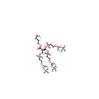 C[Si](C)(C)O[SiH2]OCC[Si](C)(C)OCC(C(=O)OCCC[SiH3])=C(O[Si](C)(C)CCO[SiH2]O[Si](C)(C)C)O[Si](C)(C)CCO[SiH2]O[Si](C)(C)C